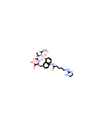 CC1SC[C@@H](C(=O)N[C@@H](Cc2ccc(NC(=O)CCCCNC3=NCCN3)cc2)C(=O)O)N1S(=O)(=O)c1ccccc1